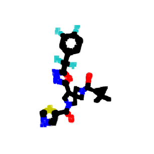 CC1(C)C[C@@H]1C(=O)N1CC2(CN(C(=O)c3cncs3)CC2c2nnc(C(F)(F)c3ccc(F)c(F)c3)o2)C1